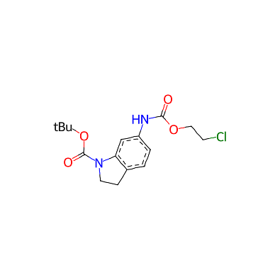 CC(C)(C)OC(=O)N1CCc2ccc(NC(=O)OCCCl)cc21